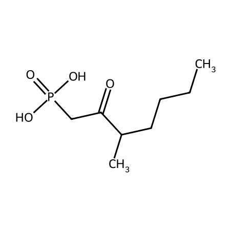 CCCCC(C)C(=O)CP(=O)(O)O